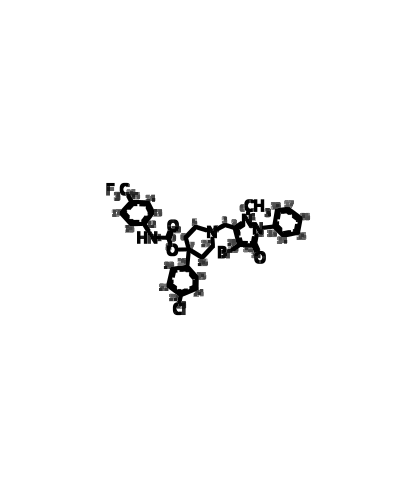 Cn1c(CN2CCC(OC(=O)Nc3ccc(C(F)(F)F)cc3)(c3ccc(Cl)cc3)CC2)c(Br)c(=O)n1-c1ccccc1